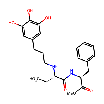 COC(=O)[C@H](Cc1ccccc1)NC(=O)[C@H](CC(=O)O)NCCCc1cc(O)c(O)c(O)c1